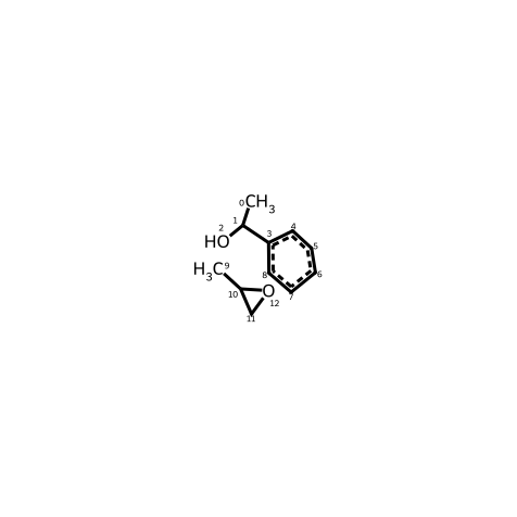 CC(O)c1ccccc1.CC1CO1